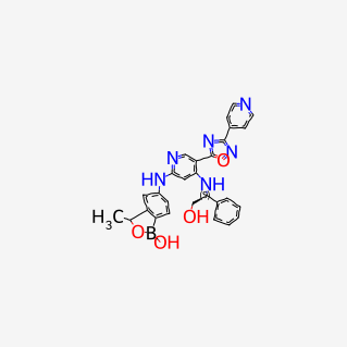 CC1OB(O)c2ccc(Nc3cc(N[C@H](CO)c4ccccc4)c(-c4nc(-c5ccncc5)no4)cn3)cc21